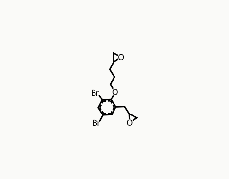 Brc1cc(Br)c(OCCCC2CO2)c(CC2CO2)c1